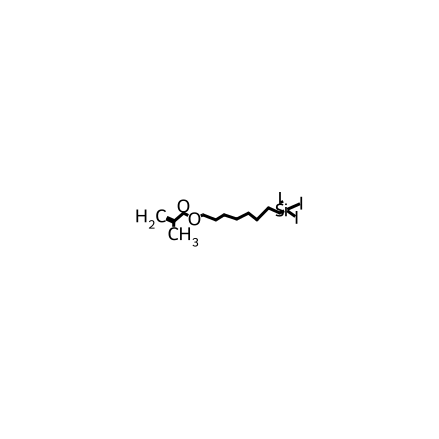 C=C(C)C(=O)OCCCCCCCC[Si](I)(I)I